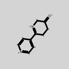 O=C1CCC(c2ccncc2)=NC1